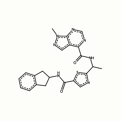 CC(NC(=O)c1ncnc2c1cnn2C)c1ncc(C(=O)NC2Cc3ccccc3C2)s1